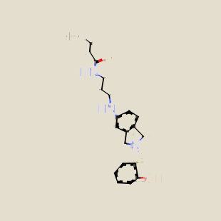 O=CCCC(=O)NCCCNc1ccc2c(c1)CN(Sc1ccccc1O)C2